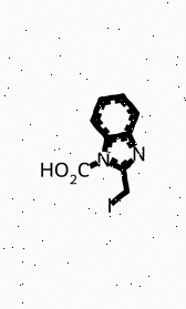 O=C(O)n1c(CI)nc2ccccc21